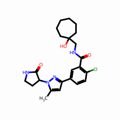 Cc1cc(-c2ccc(Cl)c(C(=O)NCC3(O)CCCCCC3)c2)nn1C1CCNC1=O